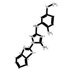 COc1ccc(C)c(Nc2nc(N)n(-c3nc4ccccc4s3)n2)c1